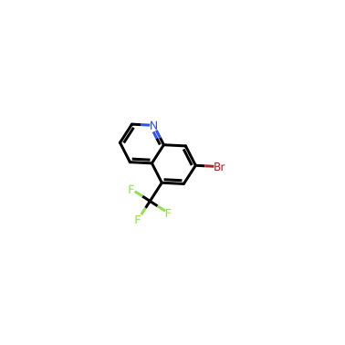 FC(F)(F)c1cc(Br)cc2ncccc12